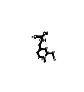 CN1CCC(CNC(=O)O)CC1CF